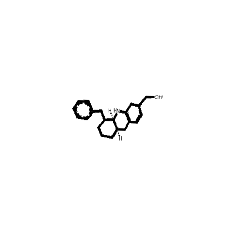 OCC1C=CC2=C(C1)N[C@@H]1C(Cc3ccccc3)CCC[C@@H]1C2